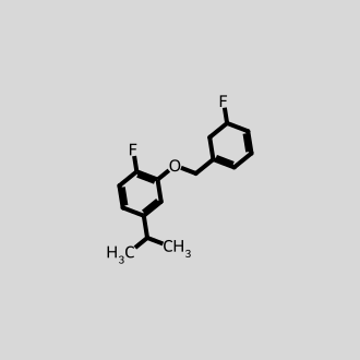 CC(C)c1ccc(F)c(OCC2=CC=CC(F)C2)c1